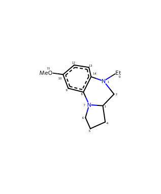 CCN1CC2CCCN2c2cc(OC)ccc21